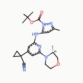 Cc1cc(Nc2cc(C3(C#N)CC3)cc(N3CCOC[C@H]3C)n2)n(C(=O)OC(C)(C)C)n1